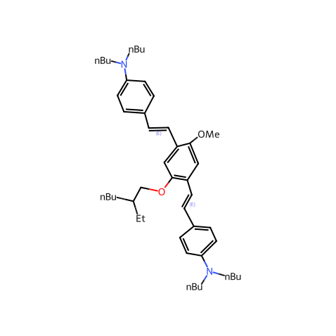 CCCCC(CC)COc1cc(/C=C/c2ccc(N(CCCC)CCCC)cc2)c(OC)cc1/C=C/c1ccc(N(CCCC)CCCC)cc1